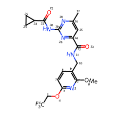 COc1nc(OCC(F)(F)F)ccc1CNC(=O)c1cc(C)nc(NC(=O)C2CC2)n1